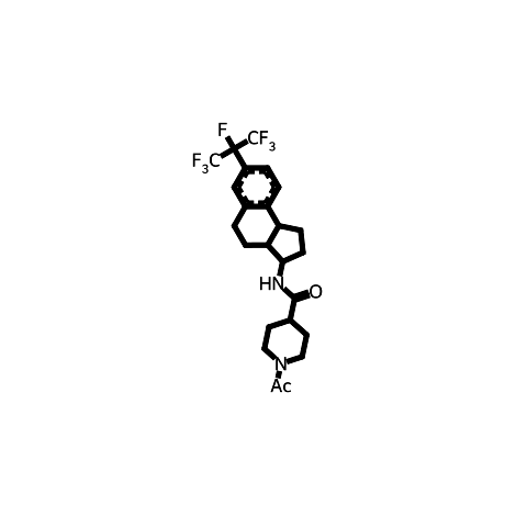 CC(=O)N1CCC(C(=O)NC2CCC3c4ccc(C(F)(C(F)(F)F)C(F)(F)F)cc4CCC23)CC1